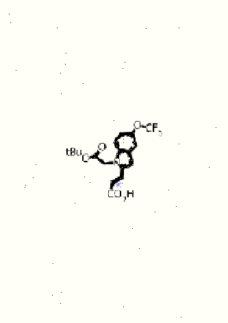 CC(C)(C)OC(=O)Cn1c(/C=C/C(=O)O)cc2cc(OC(F)(F)F)ccc21